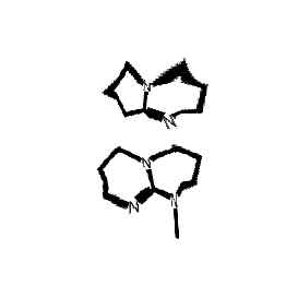 C1CN=C2CCCN2C1.CN1CCCN2CCCN=C12